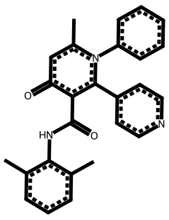 Cc1cccc(C)c1NC(=O)c1c(-c2ccncc2)n(-c2ccccc2)c(C)cc1=O